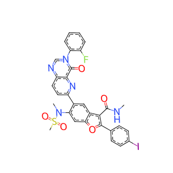 CNC(=O)c1c(-c2ccc(I)cc2)oc2cc(N(C)S(C)(=O)=O)c(-c3ccc4ncn(-c5ccccc5F)c(=O)c4n3)cc12